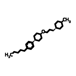 CCCCCc1ccc([C@H]2CC[C@H](OCCC[C@H]3CC[C@H](C)CC3)CC2)cc1